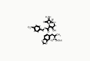 CCCCCCCC[S+]([O-])C(C)Cc1ccc2c(c1)OCO2.NC1C(=O)N2C(C(=O)OCc3ccc([N+](=O)[O-])cc3)=C(O)CS[C@H]12